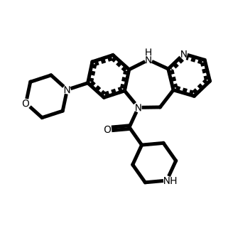 O=C(C1CCNCC1)N1Cc2cccnc2Nc2ccc(N3CCOCC3)cc21